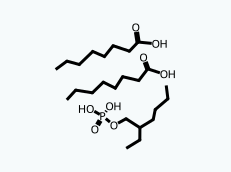 CCCCC(CC)COP(=O)(O)O.CCCCCCCC(=O)O.CCCCCCCC(=O)O